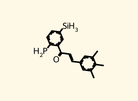 Cc1cc(/C=C/C(=O)c2cc([SiH3])ccc2P)cc(C)c1C